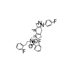 C[C@@H]1C2=C(CC[C@@H]2CN(CCc2ccccc2F)S(=O)(=O)c2ccccc2F)Cc2c1cnn2-c1ccc(F)cc1